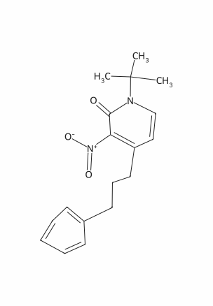 CC(C)(C)n1ccc(CCCc2ccccc2)c([N+](=O)[O-])c1=O